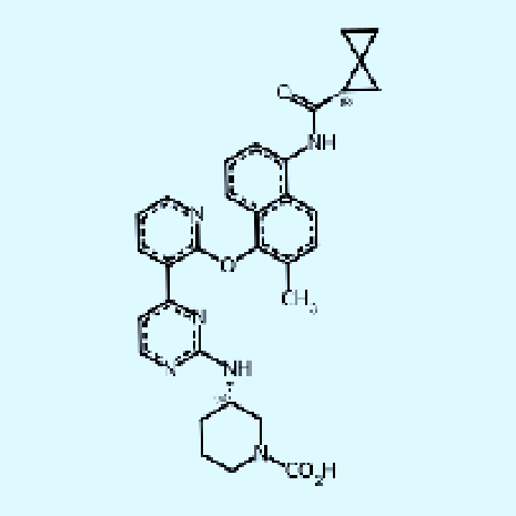 Cc1ccc2c(NC(=O)[C@@H]3CC34CC4)cccc2c1Oc1ncccc1-c1ccnc(N[C@H]2CCCN(C(=O)O)C2)n1